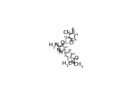 CN(C)C(=O)c1ccc(-c2cc(OCCc3c(Cl)ccc(F)c3Cl)c(N)nn2)cc1